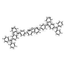 c1ccc(N(c2ccccc2)c2ccc3c(c2)c2cnccc2n3-c2ccc(-c3ccc4c(n3)oc3nc(-c5ccc(-n6c7ccncc7c7cc(N(c8ccccc8)c8ccccc8)ccc76)cc5)ccc34)cc2)cc1